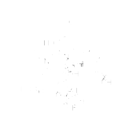 CCCCC1(C)CN(c2ccccc2)c2cc(OC)c(OS(=O)(=O)C(F)(F)F)cc2S(O)(O)N1Cc1ccc(OC)cc1